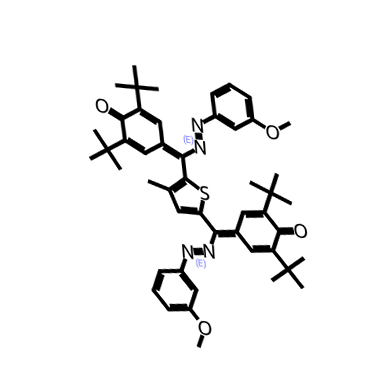 COc1cccc(/N=N/C(=C2C=C(C(C)(C)C)C(=O)C(C(C)(C)C)=C2)c2cc(C)c(C(/N=N/c3cccc(OC)c3)=C3C=C(C(C)(C)C)C(=O)C(C(C)(C)C)=C3)s2)c1